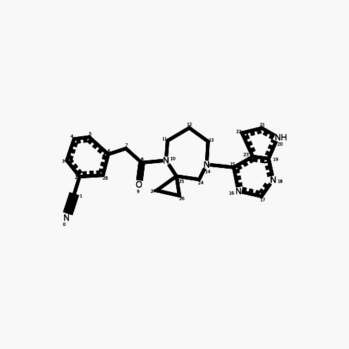 N#Cc1cccc(CC(=O)N2CCCN(c3ncnc4[nH]ccc34)CC23CC3)c1